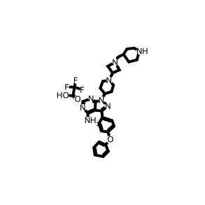 Nc1ncnc2c1c(-c1ccc(Oc3ccccc3)cc1)nn2C1CCN(C2CN(CC3CCNCC3)C2)CC1.O=C(O)C(F)(F)F